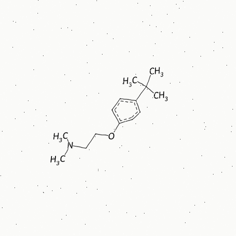 CN(C)CCOc1ccc(C(C)(C)C)cc1